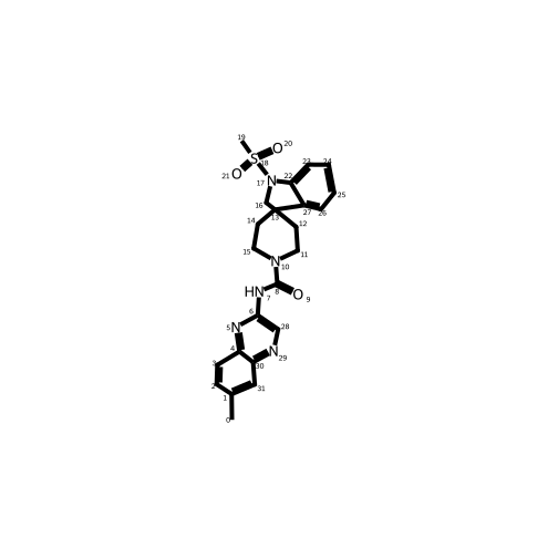 Cc1ccc2nc(NC(=O)N3CCC4(CC3)CN(S(C)(=O)=O)c3ccccc34)cnc2c1